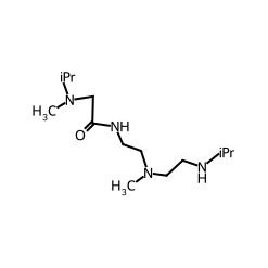 CC(C)NCCN(C)CCNC(=O)CN(C)C(C)C